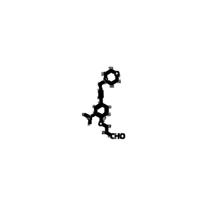 CN(C)c1cc(C#CCN2CCOCC2)ccc1OCCC=O